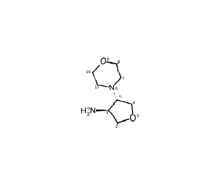 N[C@@H]1COC[C@H]1N1CCOCC1